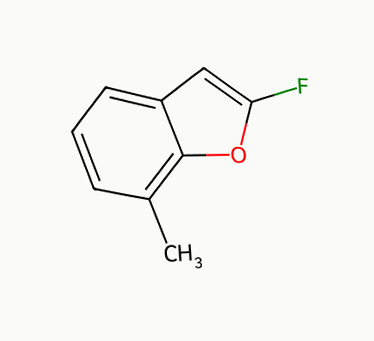 Cc1cccc2cc(F)oc12